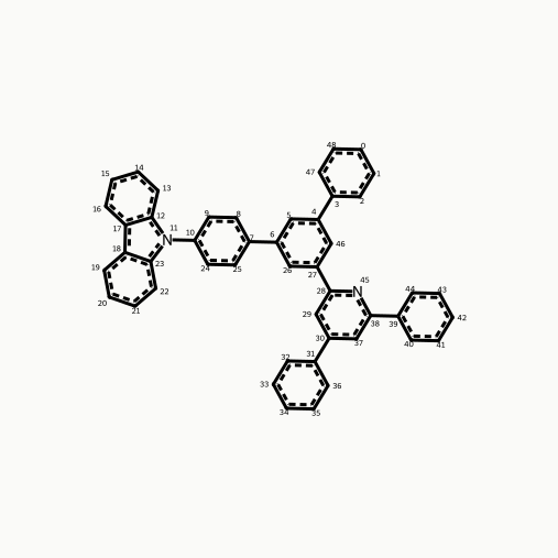 c1ccc(-c2cc(-c3ccc(-n4c5ccccc5c5ccccc54)cc3)cc(-c3cc(-c4ccccc4)cc(-c4ccccc4)n3)c2)cc1